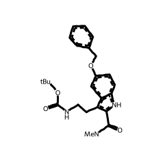 CNC(=O)c1[nH]c2ccc(OCc3ccccc3)cc2c1CCNC(=O)OC(C)(C)C